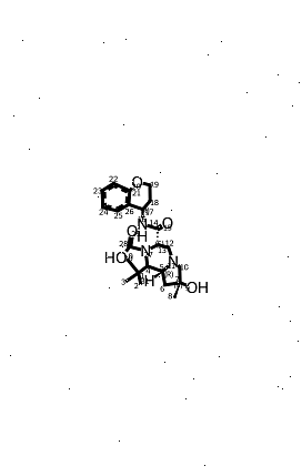 CC(C)(C)C1[C@H]2C[C@@](C)(O)CN2C[C@@H](C(=O)N[C@@H]2CCOc3ccccc32)N1C(=O)O